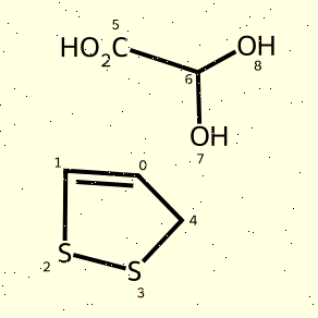 C1=CSSC1.O=C(O)C(O)O